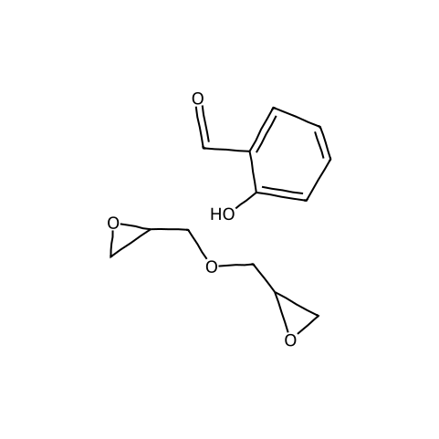 C(OCC1CO1)C1CO1.O=Cc1ccccc1O